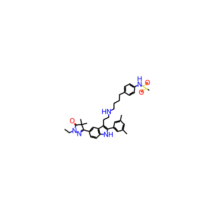 CCN1N=C(c2ccc3[nH]c(-c4cc(C)cc(C)c4)c(CCNCCCCc4ccc(NS(C)(=O)=O)cc4)c3c2)C(C)(C)C1=O